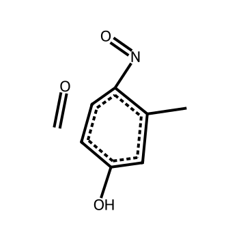 C=O.Cc1cc(O)ccc1N=O